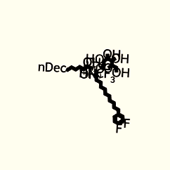 CCCCCCCCCCCCCC[C@@H](O)[C@@H](O)[C@H](COC1OC(CO)C(O)C(O)C1O)N[C@@H](CCCCCCCCCCc1ccc(F)c(F)c1)C(F)(F)F